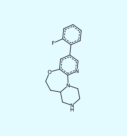 Fc1ccccc1-c1cnc2c(c1)OCCC1CNCCN21